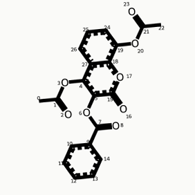 CC(=O)Oc1c(OC(=O)c2ccccc2)c(=O)oc2c(OC(C)=O)cccc12